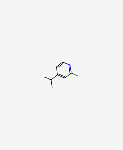 CC(C)c1ccnc(F)c1